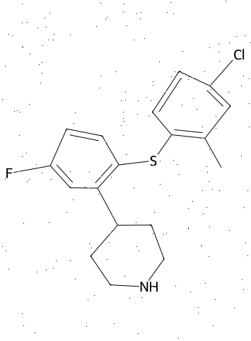 Cc1cc(Cl)ccc1Sc1ccc(F)cc1C1CCNCC1